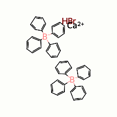 Br.[Ca+2].c1ccc([B-](c2ccccc2)(c2ccccc2)c2ccccc2)cc1.c1ccc([B-](c2ccccc2)(c2ccccc2)c2ccccc2)cc1